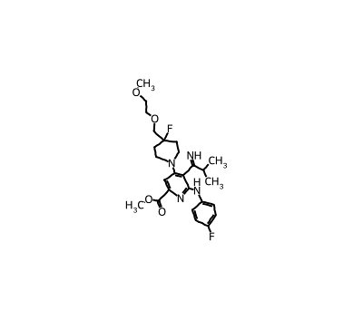 COCCOCC1(F)CCN(c2cc(C(=O)OC)nc(Nc3ccc(F)cc3)c2C(=N)C(C)C)CC1